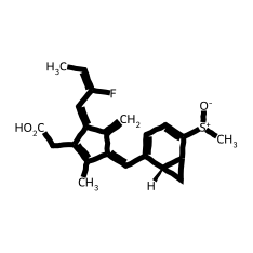 C=C1/C(=C\C2=CC=C([S+](C)[O-])C3C[C@H]23)C(C)=C(CC(=O)O)/C1=C/C(F)=C\C